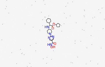 O=C(NO)c1cnc(N2CCC(N[C@H](C(=O)OC3CCCC3)C3CCCCC3)CC2)nc1